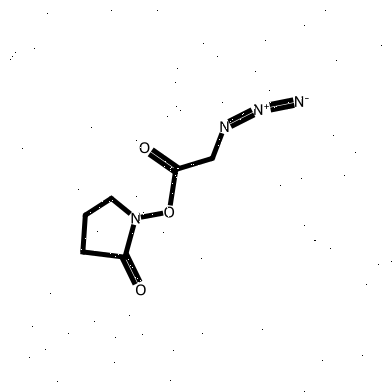 [N-]=[N+]=NCC(=O)ON1CCCC1=O